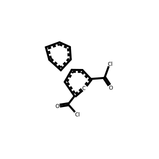 O=C(Cl)c1cccc(C(=O)Cl)c1.c1ccccc1